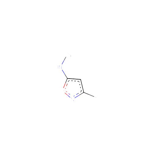 CCc1cc(NC(C)C)on1